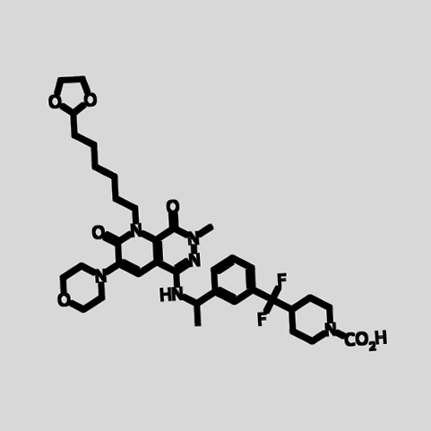 CC(Nc1nn(C)c(=O)c2c1cc(N1CCOCC1)c(=O)n2CCCCCCC1OCCO1)c1cccc(C(F)(F)C2CCN(C(=O)O)CC2)c1